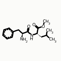 COC(=O)[C@H](CC(C)C)NC(=O)[C@@H](N)Cc1ccccc1